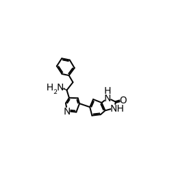 N[C@@H](Cc1ccccc1)c1cncc(-c2ccc3[nH]c(=O)[nH]c3c2)c1